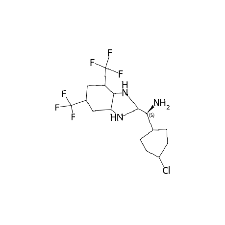 N[C@@H](C1CCC(Cl)CC1)C1NC2CC(C(F)(F)F)CC(C(F)(F)F)C2N1